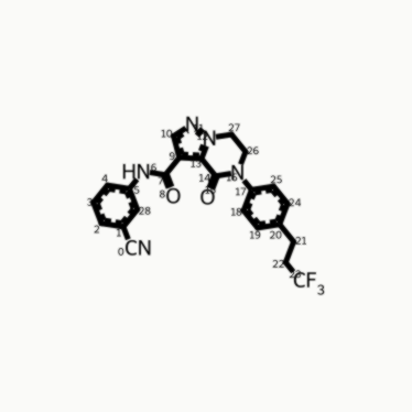 N#Cc1cccc(NC(=O)c2cnn3c2C(=O)N(c2ccc(CCC(F)(F)F)cc2)CC3)c1